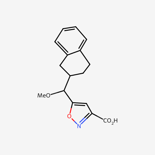 COC(c1cc(C(=O)O)no1)C1CCc2ccccc2C1